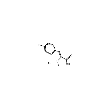 COC(=Cc1ccc(O)cc1)C(=O)O.[Rb]